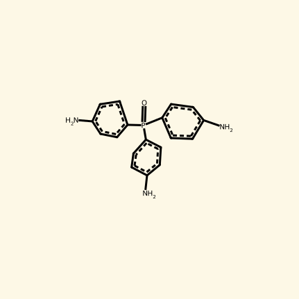 Nc1ccc(P(=O)(c2ccc(N)cc2)c2ccc(N)cc2)cc1